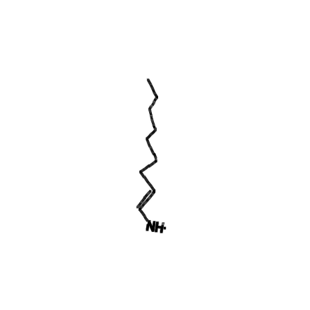 CCCCCCC/C=C/[NH]